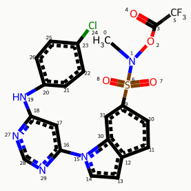 CN(OC(=O)C(F)(F)F)S(=O)(=O)c1ccc2ccn(-c3cc(Nc4ccc(Cl)cc4)ncn3)c2c1